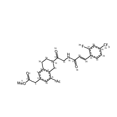 COC(=O)Cc1cc2c(c(C(C)=O)c1)CN(C(=O)CNC(=O)/C=C/c1ccc(C(F)(F)F)cc1F)CC2